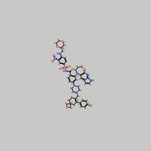 O=C(NS(=O)(=O)c1ccc(NC[C@@H]2COCCO2)c([N+](=O)[O-])c1)c1ccc(N2CCN(CC3=C(c4ccc(Cl)cc4)CC4(CC3)COC4)CC2)cc1N1CCCOc2nc3[nH]ccc3cc21